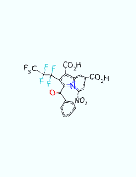 O=C(O)c1cc([N+](=O)[O-])n2c(C(=O)c3ccccc3)c(C(F)(F)C(F)(F)C(F)(F)F)c(C(=O)O)c2c1